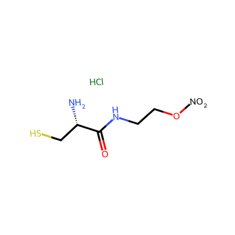 Cl.N[C@@H](CS)C(=O)NCCO[N+](=O)[O-]